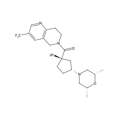 CC(C)[C@]1(C(=O)N2CCc3ncc(C(F)(F)F)cc3C2)CC[C@@H](N2C[C@@H](C)O[C@@H](C)C2)C1